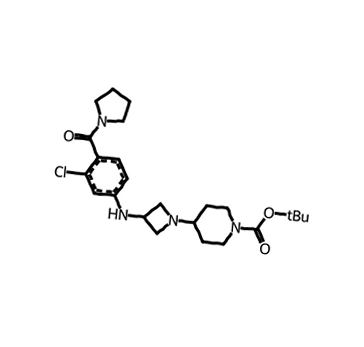 CC(C)(C)OC(=O)N1CCC(N2CC(Nc3ccc(C(=O)N4CCCC4)c(Cl)c3)C2)CC1